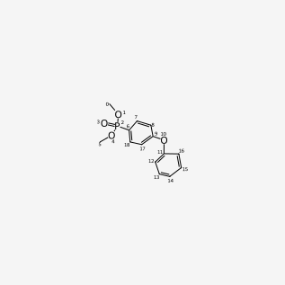 COP(=O)(OC)c1ccc(Oc2ccccc2)cc1